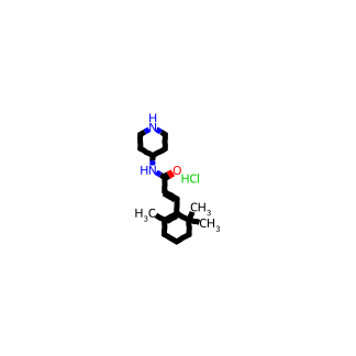 CC1=C(/C=C/C(=O)NC2CCNCC2)C(C)(C)CCC1.Cl